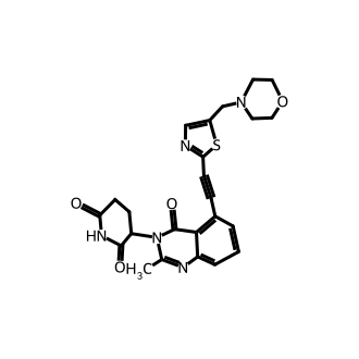 Cc1nc2cccc(C#Cc3ncc(CN4CCOCC4)s3)c2c(=O)n1C1CCC(=O)NC1=O